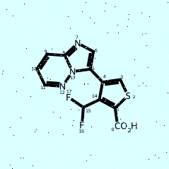 O=C(O)c1scc(-c2cnc3cccnn23)c1C(F)F